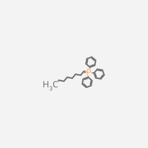 CCCCCCCC=P(c1ccccc1)(c1ccccc1)c1ccccc1